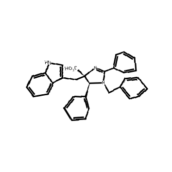 O=C(O)[C@@]1(Cc2c[nH]c3ccccc23)N=C(c2ccccc2)N(Cc2ccccc2)[C@H]1c1ccccc1